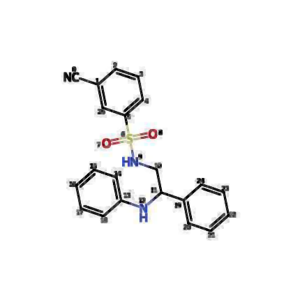 N#Cc1cccc(S(=O)(=O)NCC(Nc2ccccc2)c2ccccc2)c1